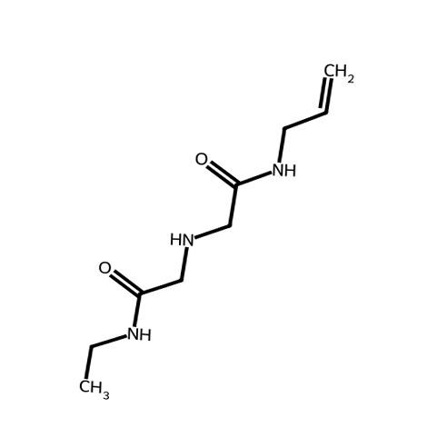 C=CCNC(=O)CNCC(=O)NCC